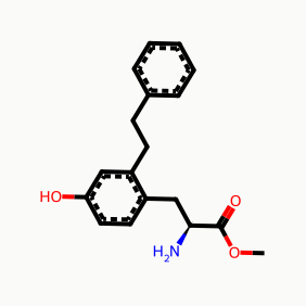 COC(=O)[C@@H](N)Cc1ccc(O)cc1CCc1ccccc1